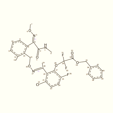 CNC(=O)/C(=N/OC)c1cccc(C)c1CO/N=C(\C)c1c(Cl)ccc(F)c1OC(F)(F)C(=O)OCc1ccccc1